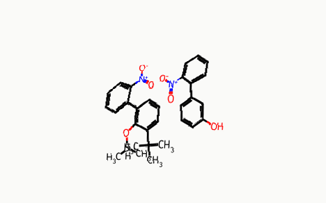 C[SiH](C)Oc1c(-c2ccccc2[N+](=O)[O-])cccc1C(C)(C)C.O=[N+]([O-])c1ccccc1-c1cccc(O)c1